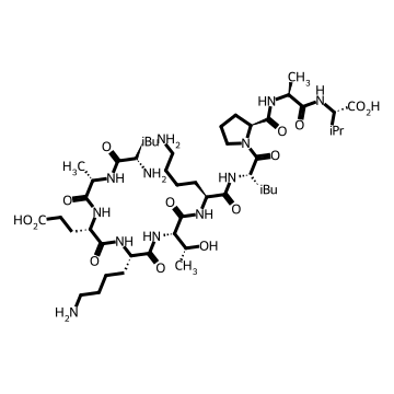 CC[C@H](C)[C@H](N)C(=O)N[C@@H](C)C(=O)N[C@@H](CCC(=O)O)C(=O)N[C@@H](CCCCN)C(=O)N[C@H](C(=O)N[C@@H](CCCCN)C(=O)N[C@H](C(=O)N1CCC[C@H]1C(=O)N[C@@H](C)C(=O)N[C@H](C(=O)O)C(C)C)[C@@H](C)CC)[C@@H](C)O